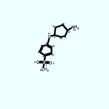 CS(=O)(=O)c1ccc(OC2CCC(N)CC2)cc1